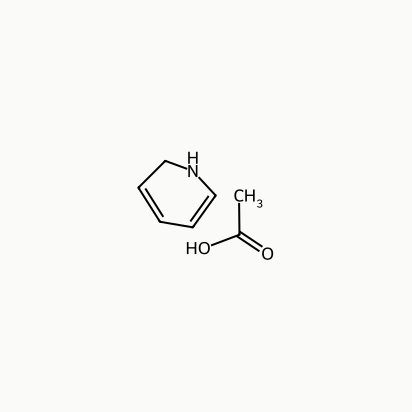 C1=CCNC=C1.CC(=O)O